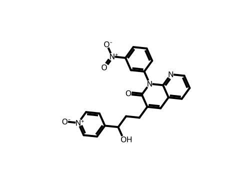 O=c1c(CCC(O)c2cc[n+]([O-])cc2)cc2cccnc2n1-c1cccc([N+](=O)[O-])c1